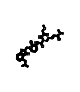 COCC(=O)N[C@@H](CC/C=C/C(=O)N(C)C)C(=O)Nc1cccn(Cc2nc3cccc(CC(C)C)c3[nH]2)c1=O